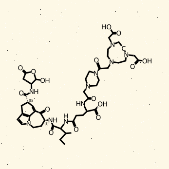 CCC(C)C(NC(=O)CCC(NC(=O)CN1CCN(C(=O)CN2CCN(CC(=O)O)CCN(CC(=O)O)CC2)CC1)C(=O)O)C(=O)N[C@H]1CCn2ccc3c2C(=C[C@@H](C(=O)NC2CC(=O)OC2O)C3)C1=O